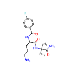 CC(C)(NC(=O)[C@@H](CCCN)NC(=O)c1ccc(F)cc1)C(N)=O